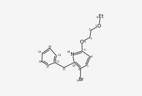 CCOCCOc1ccc(Br)c(Cc2ccccc2)n1